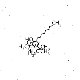 CCCCCCCCCc1cc(C(C)(C)C)cc(C(C)(C)C)c1O